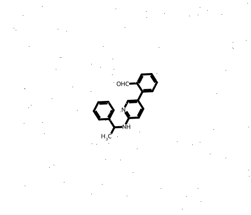 CC(Nc1ccc(-c2ccccc2C=O)cn1)c1ccccc1